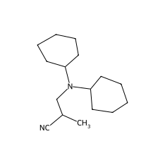 CC(C#N)CN(C1CCCCC1)C1CCCCC1